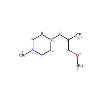 CC(C)(C)OCC(CN1CCN(C(C)(C)C)CC1)C(F)(F)F